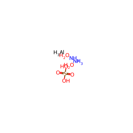 N.N.O.O.O=S(=O)(O)O.[AlH3]